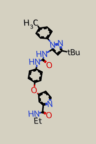 CCNC(=O)c1cc(Oc2ccc(NC(=O)Nc3cc(C(C)(C)C)nn3-c3ccc(C)cc3)cc2)ccn1